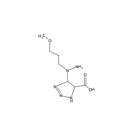 COCCCN(N)C1N=NNC1C(=O)O